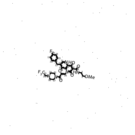 COCCNC(=O)c1c(O)c2ncc(Cc3ccc(F)cc3)c3c2n(c1=O)C=C(C(=O)N1CCN(CC(F)(F)F)CC1)O3